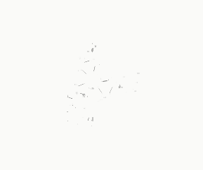 CN[C@@H]1CCCN(C(=O)c2cc(-c3ccc(C#N)c(F)c3)n(-c3ccc(N4CC[C@H](C)C4)cc3F)n2)C1